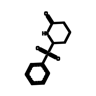 O=C1CCCC(S(=O)(=O)c2ccccc2)N1